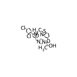 Cc1nc2cc(OC([C@@H](C)O)N3CCN(Cc4cc(-c5ccc(Cl)cc5Cl)no4)CC3)ccc2s1